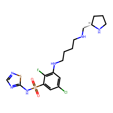 O=S(=O)(Nc1ncns1)c1cc(Cl)cc(NCCCCNC[C@@H]2CCCN2)c1F